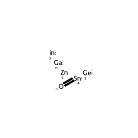 [Ga].[Ge].[In].[O]=[Sn].[Zn]